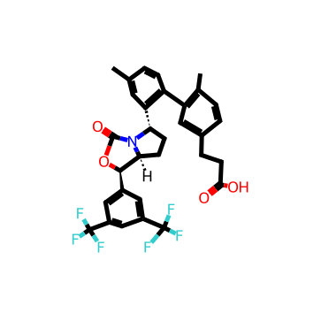 Cc1ccc(-c2cc(CCC(=O)O)ccc2C)c([C@@H]2CC[C@H]3[C@@H](c4cc(C(F)(F)F)cc(C(F)(F)F)c4)OC(=O)N23)c1